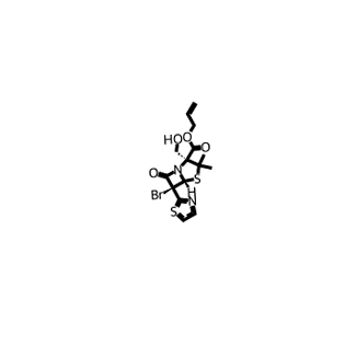 C=CCOC(=O)[C@]1(CO)N2C(=O)[C@@](Br)(c3nccs3)[C@H]2SC1(C)C